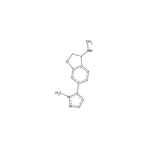 CNC1COc2cc(-c3ccnn3C)ccc21